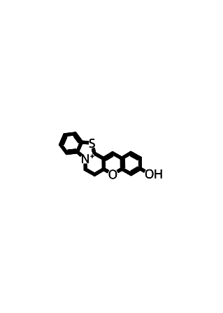 Oc1ccc2c(c1)OC1CC[n+]3c(sc4ccccc43)C1=C2